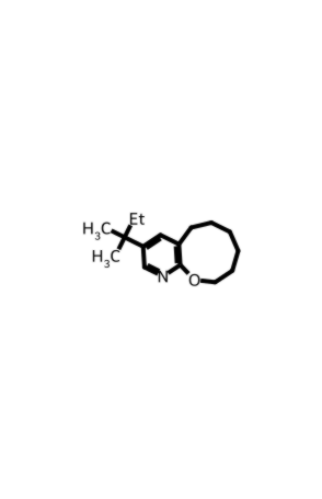 CCC(C)(C)c1cnc2c(c1)CCCCCCO2